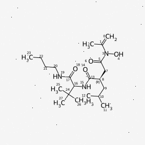 C=C(C)N(O)C(=O)C[C@@H](CC(C)C)C(=O)NC(C(=O)NCCCC)C(C)(C)C